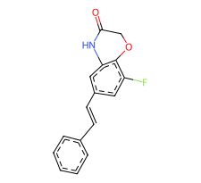 O=C1COc2c(F)cc(/C=C/c3ccccc3)cc2N1